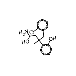 CC(Cc1ccccc1Cl)(C[C@H](N)O)c1ccccc1O